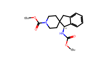 CC(C)(C)OC(=O)N[C@@H]1c2ccccc2CC12CCN(C(=O)OC(C)(C)C)CC2